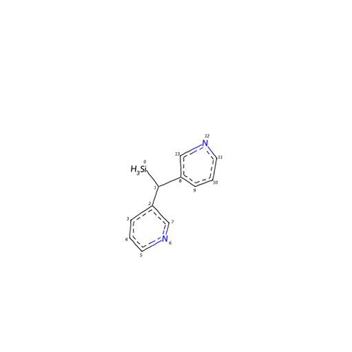 [SiH3]C(c1cccnc1)c1cccnc1